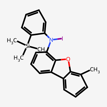 Cc1cccc2c1oc1c(N(I)c3ccccc3[Si](C)(C)C)cccc12